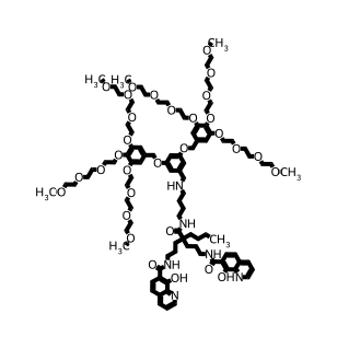 CCCCC(CCCNC(=O)c1ccc2cccnc2c1O)(CCCNC(=O)c1ccc2cccnc2c1O)C(=O)NCCCCNCc1cc(OCc2cc(OCCOCCOCCOC)c(OCCOCCOCCOC)c(OCCOCCOCCOC)c2)cc(OCc2cc(OCCOCCOCCOC)c(OCCOCCOCCOC)c(OCCOCCOCCOC)c2)c1